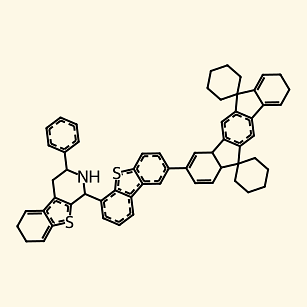 C1=CC2C(C=C1c1ccc3sc4c(C5NC(c6ccccc6)Cc6c5sc5c6=CCCC=5)cccc4c3c1)c1cc3c(cc1C21CCCCC1)C1=CCCC=C1C31CCCCC1